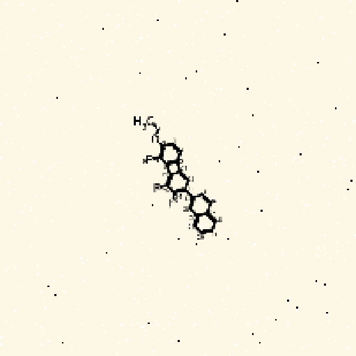 CCOc1ccc2c(c1F)-c1c-2cc(-c2ccc3ccccc3c2)c(F)c1F